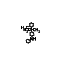 Cc1ccccc1C(C)(C)c1ccc(Nc2ccccc2)cc1